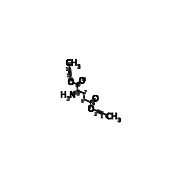 CC#COC(=O)CC[C@H](N)C(=O)OC#CC